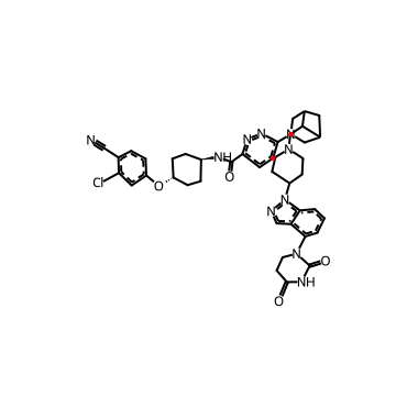 N#Cc1ccc(O[C@H]2CC[C@H](NC(=O)c3ccc(N4CC5CC(C4)C5CN4CCC(n5ncc6c(N7CCC(=O)NC7=O)cccc65)CC4)nn3)CC2)cc1Cl